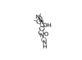 Cc1cn2nc(-c3cc4ccn(C5CCNCC5)c(=O)c4cc3O)cc(C)c2n1